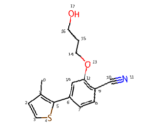 Cc1ccsc1-c1ccc(C#N)c(OCCCO)c1